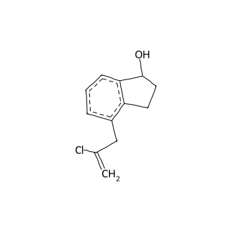 C=C(Cl)Cc1cccc2c1CCC2O